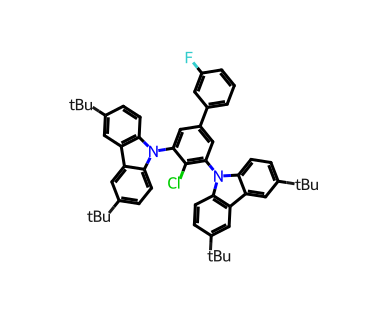 CC(C)(C)c1ccc2c(c1)c1cc(C(C)(C)C)ccc1n2-c1cc(-c2cccc(F)c2)cc(-n2c3ccc(C(C)(C)C)cc3c3cc(C(C)(C)C)ccc32)c1Cl